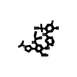 C=CC(=O)Nc1cc(Nc2ncnc(Nc3cc(Cl)c(F)cc3C(C)(C)O)n2)c(OC)cc1N1CC[C@H](N(C)C)C1